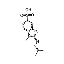 CC(C)=N/N=c1/sc2cc(S(=O)(=O)O)ccc2n1C